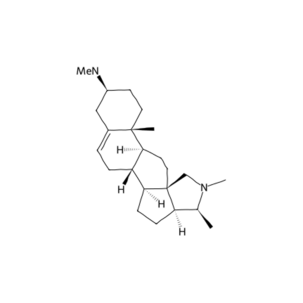 CN[C@H]1CC[C@@]2(C)C(=CC[C@H]3[C@@H]4CC[C@@H]5[C@H](C)N(C)C[C@@]54CC[C@@H]32)C1